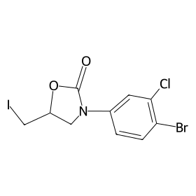 O=C1OC(CI)CN1c1ccc(Br)c(Cl)c1